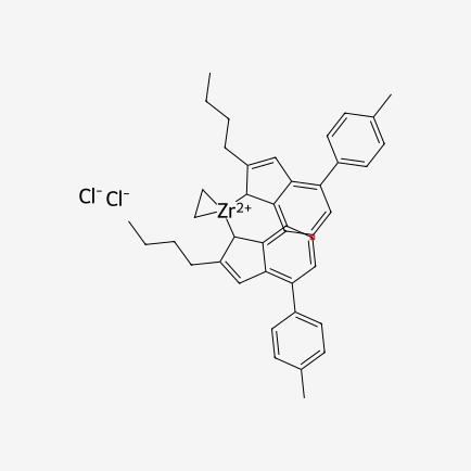 CCCCC1=Cc2c(-c3ccc(C)cc3)cccc2[CH]1[Zr+2]1([CH]2C(CCCC)=Cc3c(-c4ccc(C)cc4)cccc32)[CH2][CH2]1.[Cl-].[Cl-]